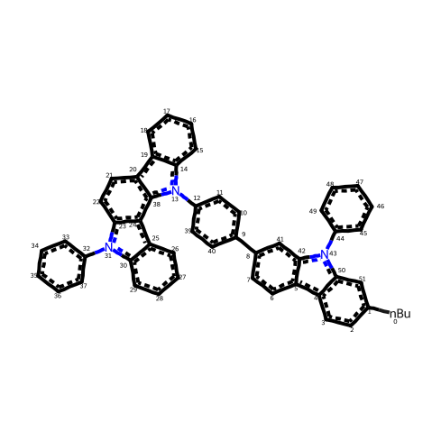 CCCCc1ccc2c3ccc(-c4ccc(-n5c6ccccc6c6ccc7c(c8ccccc8n7-c7ccccc7)c65)cc4)cc3n(-c3ccccc3)c2c1